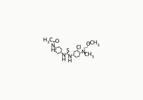 COCCN(C)c1ccc(NC(=S)Nc2ccc(NC(C)=O)cc2)cc1Cl